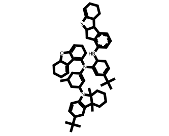 CC1CC(N(C2=CC(C(C)(C)C)=CCC2Bc2cccc3c2CC2SC4=CCCCC4C32)C2=C3C(=CCC2)OC2CCCC=C32)=CC(N2C3=C(CC(C(C)(C)C)C=C3)C3(C)CCCCC23C)C1